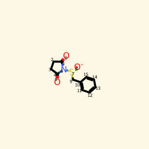 O=C1CCC(=O)N1[S+]([O-])Cc1ccccc1